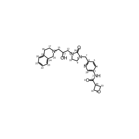 O=C(Nc1ccc(CN2CCN(CC(O)CN3CCc4ccccc4C3)C2=O)nc1)C1COC1